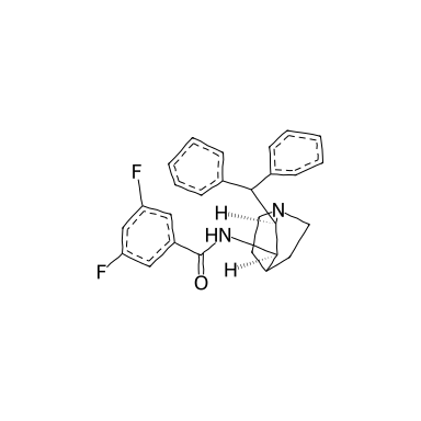 O=C(N[C@@H]1C2CCN(CC2)[C@@H]1C(c1ccccc1)c1ccccc1)c1cc(F)cc(F)c1